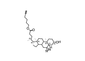 C#CCCCCOC(=O)CC[C@@H](C)[C@H]1CCC2C3CC4(N=N4)[C@H]4C[C@H](O)CC[C@]4(C)C3CC[C@@]21C